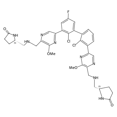 COc1nc(-c2cccc(-c3cc(F)cc(-c4cnc(CNC[C@@H]5CCC(=O)N5)c(OC)n4)c3Cl)c2Cl)cnc1CNC[C@@H]1CCC(=O)N1